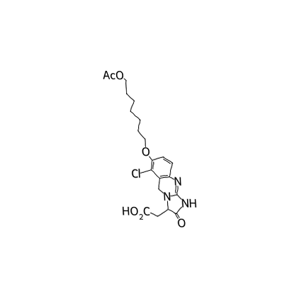 CC(=O)OCCCCCCCOc1ccc2c(c1Cl)CN1C(=N2)NC(=O)C1CC(=O)O